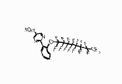 CCCCCCCCc1cnc(-c2ccccc2OC(F)(F)C(F)(F)C(F)(F)C(F)(F)C(F)(F)C(F)(F)C(F)(F)C(F)(F)F)nc1